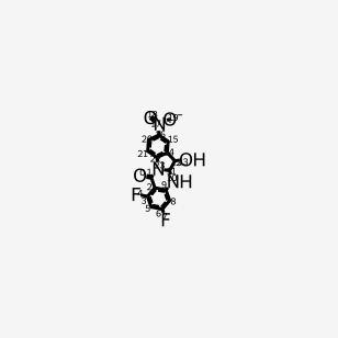 O=C1c2c(F)cc(F)cc2NC2C(O)c3cc([N+](=O)[O-])ccc3N12